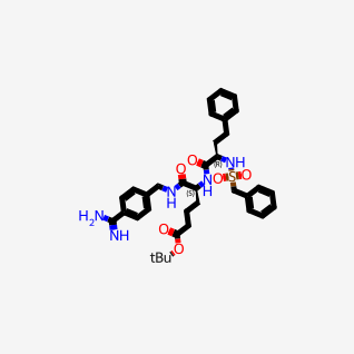 CC(C)(C)OC(=O)CCC[C@H](NC(=O)[C@@H](CCc1ccccc1)NS(=O)(=O)Cc1ccccc1)C(=O)NCc1ccc(C(=N)N)cc1